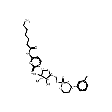 CCCCCCC(=O)Nc1ccn([C@@H]2O[C@H](COP3(=O)OCC[C@@H](c4cccc(Cl)c4)O3)[C@@H](O)[C@@]2(C)O)c(=O)n1